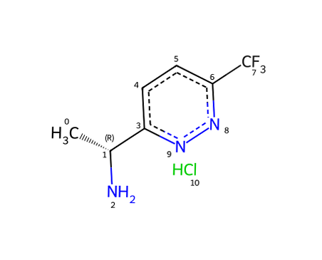 C[C@@H](N)c1ccc(C(F)(F)F)nn1.Cl